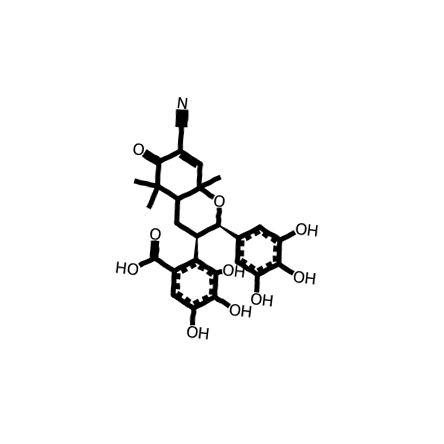 CC12C=C(C#N)C(=O)C(C)(C)C1C[C@H](c1c(C(=O)O)cc(O)c(O)c1O)[C@H](c1cc(O)c(O)c(O)c1)O2